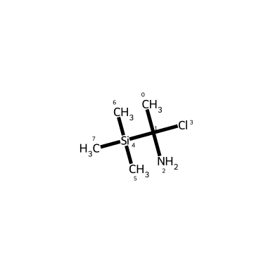 CC(N)(Cl)[Si](C)(C)C